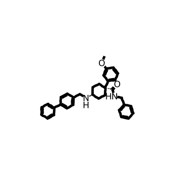 COc1cccc([C@]2(C(=O)NCc3ccccc3)CC[C@@H](NCc3ccc(-c4ccccc4)cc3)CC2)c1